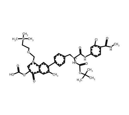 CNC(=O)c1ccc(NC(=O)[C@H](Cc2ccc(-c3cc4c(cc3C)c(=O)c(OC(=O)O)cn4COCC[Si](C)(C)C)cc2)NC(=O)OC(C)(C)C)cc1Cl